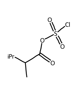 CC(C)C(C)C(=O)OS(=O)(=O)Cl